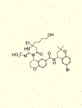 CCC1(CCCCO)CC(=O)N(C2CCOc3ccc(C(=O)NC4CC(C)(C)Oc5ccc(Br)cc54)cc32)C(=NC(=O)O)N1